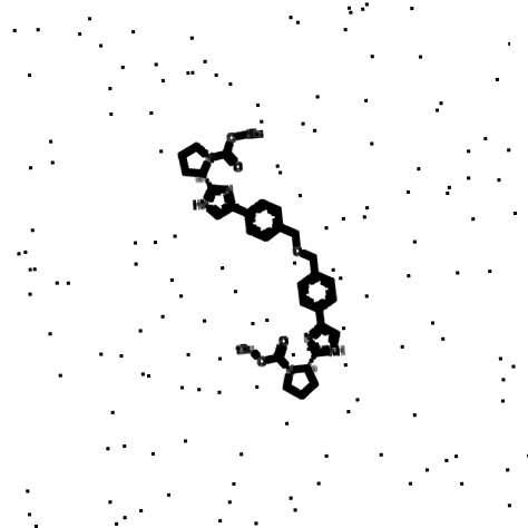 CC(C)(C)OC(=O)N1CCC[C@H]1c1nc(-c2ccc(COCc3ccc(-c4c[nH]c([C@@H]5CCCN5C(=O)OC(C)(C)C)n4)cc3)cc2)c[nH]1